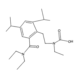 CCN(CCc1c(C(=O)N(CC)CC)cc(C(C)C)cc1C(C)C)C(=O)O